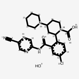 Cl.N#Cc1cnc(NC(=O)c2cc(Cl)ccc2C2CC(N3CCCCC3)CCN2C(=O)O)cn1